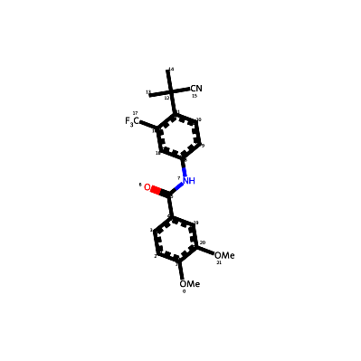 COc1ccc(C(=O)Nc2ccc(C(C)(C)C#N)c(C(F)(F)F)c2)cc1OC